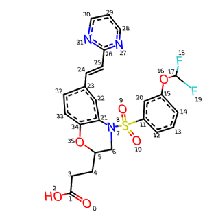 O=C(O)CCC1CN(S(=O)(=O)c2cccc(OC(F)F)c2)c2cc(C=Cc3ncccn3)ccc2O1